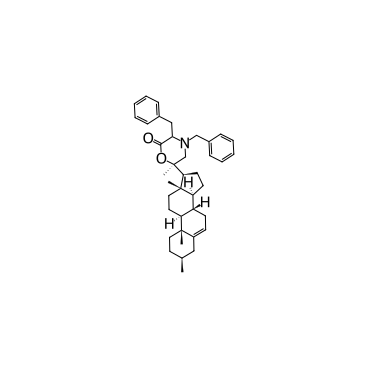 C[C@H]1CC[C@@]2(C)C(=CC[C@H]3[C@@H]4CC[C@H]([C@]5(C)CN(Cc6ccccc6)C(Cc6ccccc6)C(=O)O5)[C@@]4(C)CC[C@@H]32)C1